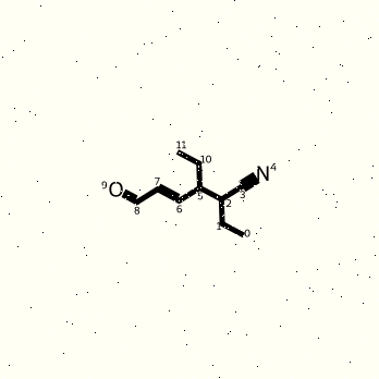 CCC(C#N)C(C=CC=O)CC